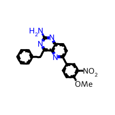 COc1ccc(-c2ccc3nc(N)nc(Cc4ccccc4)c3n2)cc1[N+](=O)[O-]